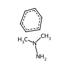 CN(C)N.c1ccccc1